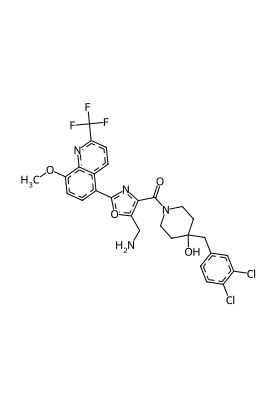 COc1ccc(-c2nc(C(=O)N3CCC(O)(Cc4ccc(Cl)c(Cl)c4)CC3)c(CN)o2)c2ccc(C(F)(F)F)nc12